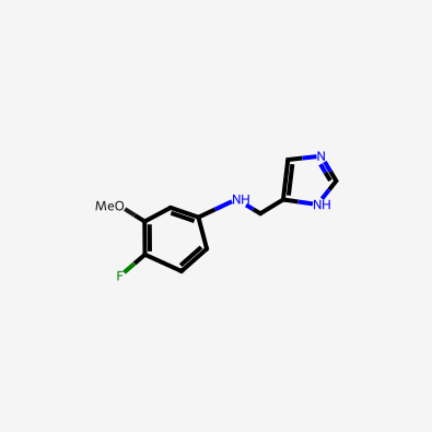 COc1cc(NCc2cnc[nH]2)ccc1F